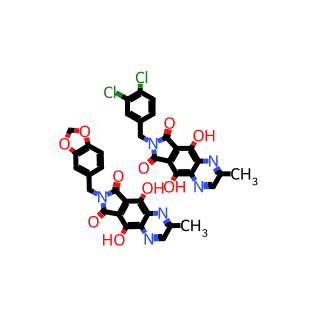 Cc1cnc2c(O)c3c(c(O)c2n1)C(=O)N(Cc1ccc(Cl)c(Cl)c1)C3=O.Cc1cnc2c(O)c3c(c(O)c2n1)C(=O)N(Cc1ccc2c(c1)OCO2)C3=O